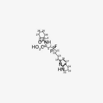 CC1(C(=O)N[C@H](CCC(F)(F)CCCCc2ccc3c(n2)NCCC3)C(=O)O)CCCCC1